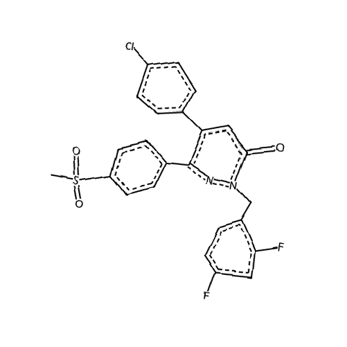 CS(=O)(=O)c1ccc(-c2nn(Cc3ccc(F)cc3F)c(=O)cc2-c2ccc(Cl)cc2)cc1